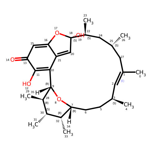 C/C1=C\[C@@H](C)CC[C@H]2O[C@@H](C3=C(O)C(=O)C=C4O[C@](O)(C=C43)[C@@H](C)C[C@H](C)C1)[C@H](C)[C@@H](C)[C@H]2C